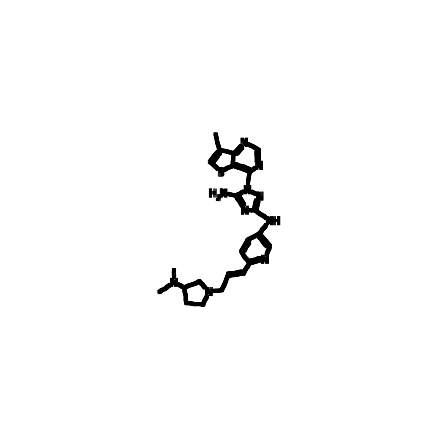 Cc1csc2c(-n3nc(Nc4ccc(C=CCN5CCC(N(C)C)C5)nc4)nc3N)ncnc12